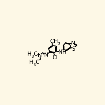 CCN(C)C=Nc1cc(C)cc(Nc2ccc3ncsc3c2)c1Cl